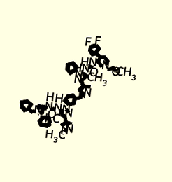 COCCN1CCC(c2ccc(F)c(F)c2)C(NC(=O)Nc2c(C)c(-c3cnn(Cc4cccc(-n5nc(-c6cnn(C)c6)c(C)c5NC(=O)N[C@@H]5CN(Cc6ccccc6)[C@H]5c5ccccc5)c4)c3)nn2-c2ccccc2)C1